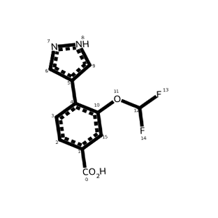 O=C(O)c1ccc(-c2cn[nH]c2)c(OC(F)F)c1